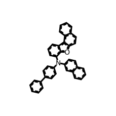 c1ccc(-c2ccc(N(c3ccc4ccccc4c3)c3cccc4c3oc3ccc5ccccc5c34)cc2)cc1